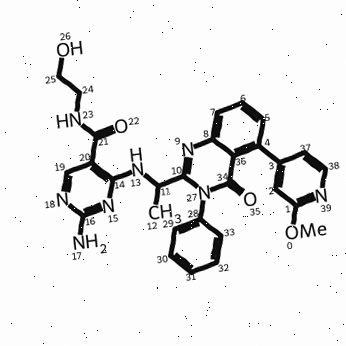 COc1cc(-c2cccc3nc(C(C)Nc4nc(N)ncc4C(=O)NCCO)n(-c4ccccc4)c(=O)c23)ccn1